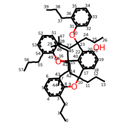 CCCc1ccccc1OC(CCC)(CCC)c1ccc(O)c(C(CCC)(CCC)Oc2ccccc2CCC)c1C(CCC)(CCC)Oc1ccccc1CCC